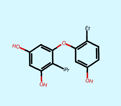 CCc1ccc(O)cc1Oc1cc(O)cc(O)c1C(C)C